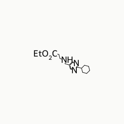 CCOC(=O)CCNCc1cnc(C2CCCCC2)nc1